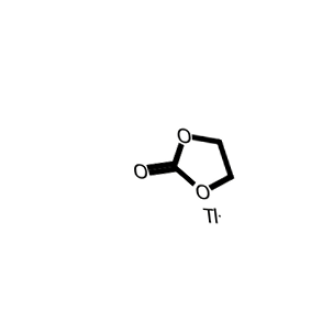 O=C1OCCO1.[Tl]